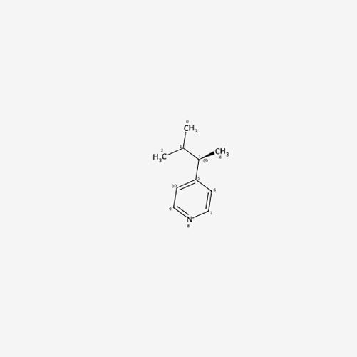 CC(C)[C@@H](C)c1ccncc1